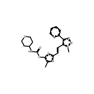 Cc1nc(/C=C/c2c(-c3ccccn3)nnn2C)sc1OC(=O)NC1CCOCC1